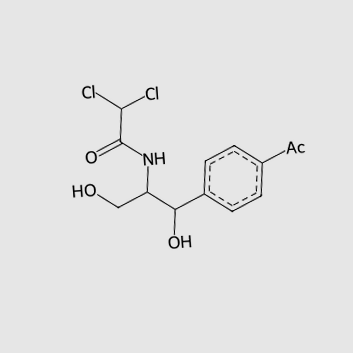 CC(=O)c1ccc(C(O)C(CO)NC(=O)C(Cl)Cl)cc1